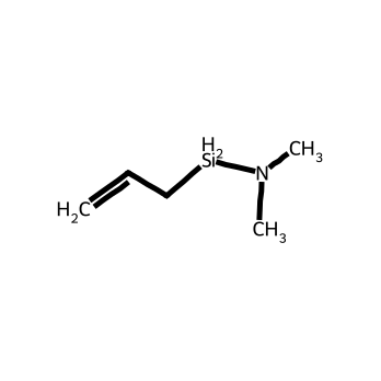 C=CC[SiH2]N(C)C